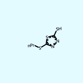 CCCSc1nnc(S)s1